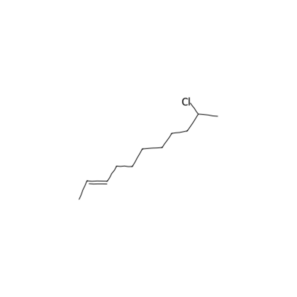 CC=CCCCCCCC(C)Cl